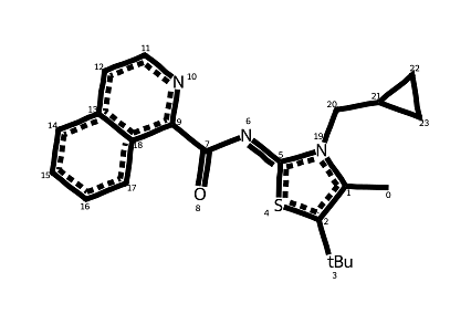 Cc1c(C(C)(C)C)s/c(=N\C(=O)c2nccc3ccccc23)n1CC1CC1